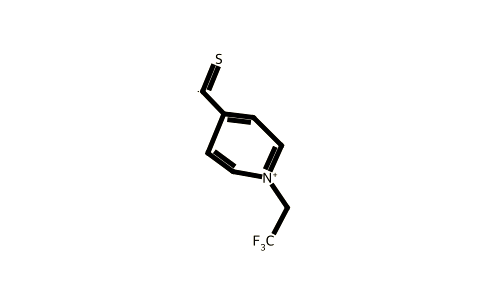 FC(F)(F)C[n+]1ccc([C]=S)cc1